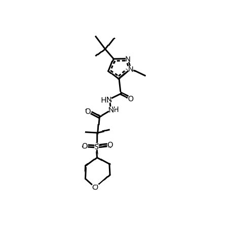 Cn1nc(C(C)(C)C)cc1C(=O)NNC(=O)C(C)(C)S(=O)(=O)C1CCOCC1